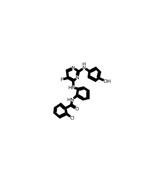 O=C(Nc1ccccc1Nc1nc(Nc2ccc(O)cc2)ncc1F)c1ccccc1Cl